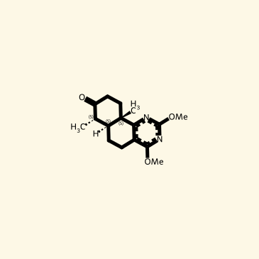 COc1nc(OC)c2c(n1)[C@@]1(C)CCC(=O)[C@@H](C)[C@@H]1CC2